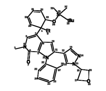 CCC1(c2cn(C)c(=O)c3c2cc(-c2cnn(C4COC4)c2)n3-c2ccccc2C)C=CC=CC1O[Si](C)(C)C(C)(C)C